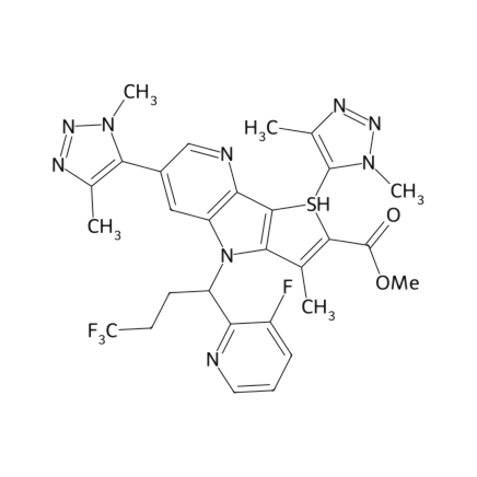 COC(=O)C1=C(C)c2c(c3ncc(-c4c(C)nnn4C)cc3n2C(CCC(F)(F)F)c2ncccc2F)[SH]1c1c(C)nnn1C